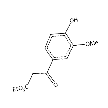 CCOC(=O)CC(=O)c1ccc(O)c(OC)c1